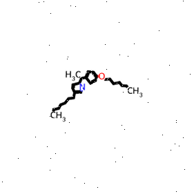 CCCCCCCOc1ccc(C(C)c2ccc(CCCCCCC)cn2)cc1